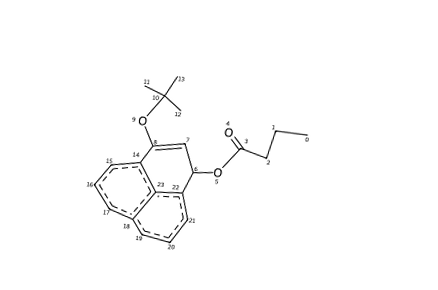 CCCC(=O)OC1C=C(OC(C)(C)C)c2cccc3cccc1c23